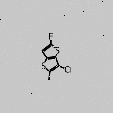 Cc1sc2cc(F)sc2c1Cl